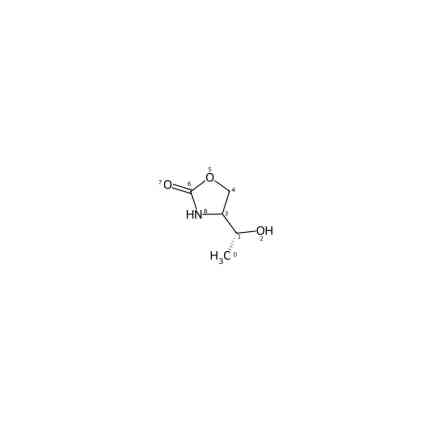 C[C@@H](O)C1COC(=O)N1